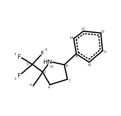 CC1(C(F)(F)F)CCC(c2ccccc2)N1